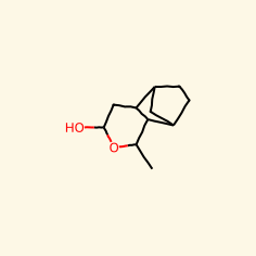 CC1OC(O)CC2C3CCC(C3)C12